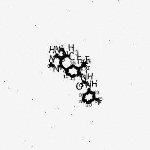 Cc1c[nH]c2ncnc(-c3ccc(NC(=O)Nc4cccc(F)c4)c(C(F)(F)F)c3)c12